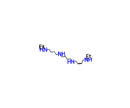 CCNC/C=C\CNCCCCNCCCCNCC